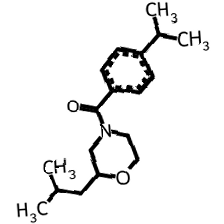 CC(C)CC1CN(C(=O)c2ccc(C(C)C)cc2)CCO1